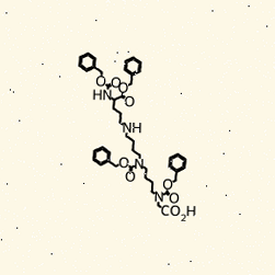 O=C(O)CN(CCCCN(CCCCNCCCC(NC(=O)OCc1ccccc1)C(=O)OCc1ccccc1)C(=O)OCc1ccccc1)C(=O)OCc1ccccc1